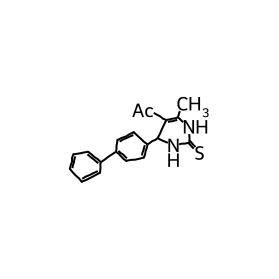 CC(=O)C1=C(C)NC(=S)NC1c1ccc(-c2ccccc2)cc1